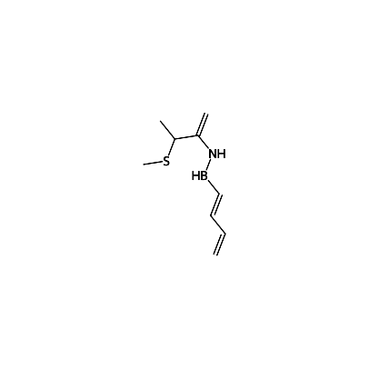 C=C/C=C/BNC(=C)C(C)SC